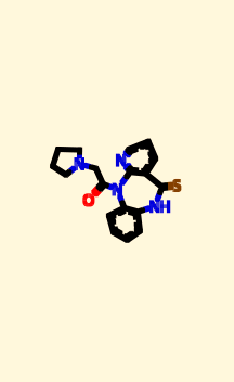 O=C(CN1CCCC1)N1c2ccccc2NC(=S)c2cccnc21